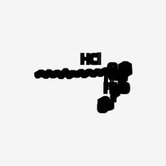 CCCCCCCCCCCCCCCCCCNC(=O)Oc1ccccc1CCC(=O)NCCCN1CCOCC1.Cl